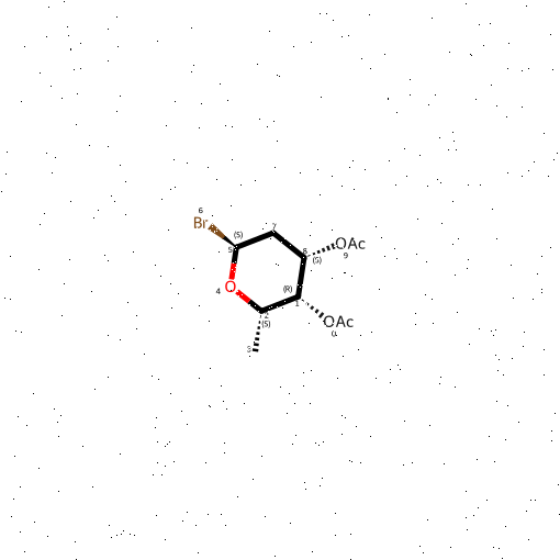 CC(=O)O[C@@H]1[C@H](C)O[C@@H](Br)C[C@@H]1OC(C)=O